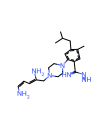 Cc1cc(C(=N)N=N)c(N2CCN(C/C(N)=C/C=C\N)CC2)cc1CC(C)C